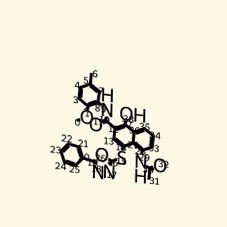 COc1ccc(C)cc1NC(=O)c1cc(Sc2nnc(-c3ccccc3)o2)c2c(NC(C)=O)cccc2c1O